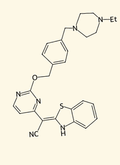 CCN1CCN(Cc2ccc(COc3nccc(/C(C#N)=C4/Nc5ccccc5S4)n3)cc2)CC1